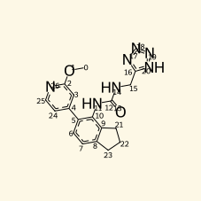 COc1cc(-c2ccc3c(c2NC(=O)NCc2nnn[nH]2)CCC3)ccn1